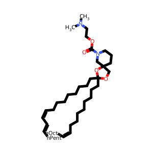 CCCCC/C=C/C=C\CCCCCCCCC1(CCCCCCCC/C=C\CCCCCCCC)OCC2(CCCN(C(=O)OCCN(C)C)C2)O1